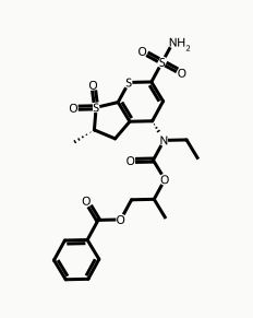 CCN(C(=O)OC(C)COC(=O)c1ccccc1)[C@H]1C=C(S(N)(=O)=O)SC2=C1C[C@H](C)S2(=O)=O